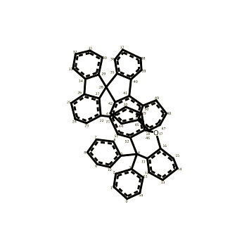 c1ccc(C2(c3ccccc3)c3ccccc3Oc3ccc(-c4cccc5c4C4(c6ccccc6-5)c5ccccc5-c5c4ccc4ccccc54)cc32)cc1